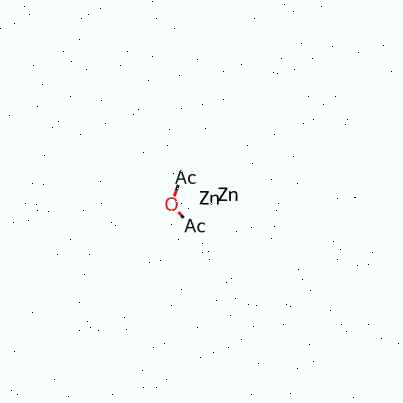 CC(=O)OC(C)=O.[Zn].[Zn]